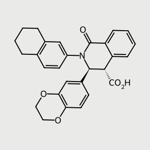 O=C(O)[C@H]1c2ccccc2C(=O)N(c2ccc3c(c2)CCCC3)[C@@H]1c1ccc2c(c1)OCCO2